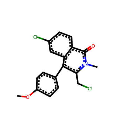 COc1ccc(-c2c(CCl)n(C)c(=O)c3ccc(Cl)cc23)cc1